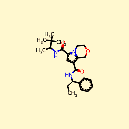 CC[C@@H](NC(=O)c1cc(C(=O)NC(C)C(C)(C)C)n2c1COCC2)c1ccccc1